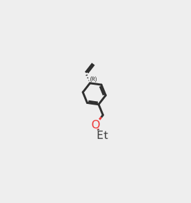 C=C[C@@H]1C=CC(COCC)=CC1